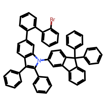 Brc1ccccc1-c1ccccc1-c1ccc2c(-c3ccccc3)c(-c3ccccc3)n(-c3ccc4c(c3)-c3ccccc3C4(c3ccccc3)c3ccccc3)c2c1